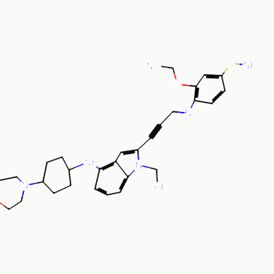 N#CCOc1cc(SN)ccc1NCC#Cc1cc2c(NC3CCC(N4CCOCC4)CC3)cccc2n1CC(F)(F)F